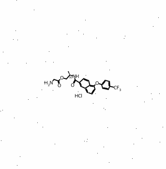 C[C@H](COC(=O)CN)NC(=O)c1ccc2c(Oc3ccc(C(F)(F)F)cc3)cccc2c1.Cl